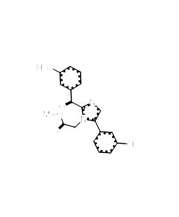 COC(=O)Cn1c(-c2cccc(C)c2)cnc1C(=O)c1cccc(C)c1